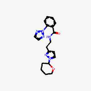 O=C(NCCc1ccn(C2CCCCO2)n1)c1ccccc1-n1nccn1